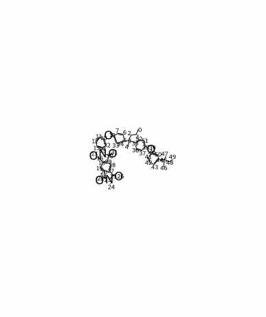 CCCC(C)(c1ccc(Oc2cccc(-n3c(=O)c4cc5c(=O)n(C)c(=O)c5cc4c3=O)c2)cc1)c1ccc(Oc2cccc(C(C)(C)CC)c2)cc1